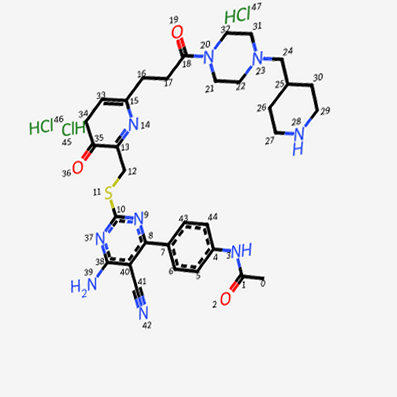 CC(=O)Nc1ccc(-c2nc(SCC3=NC(CCC(=O)N4CCN(CC5CCNCC5)CC4)=CCC3=O)nc(N)c2C#N)cc1.Cl.Cl.Cl